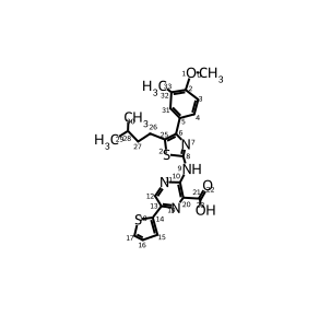 COc1ccc(-c2nc(Nc3ncc(-c4cccs4)nc3C(=O)O)sc2CCC(C)C)cc1C